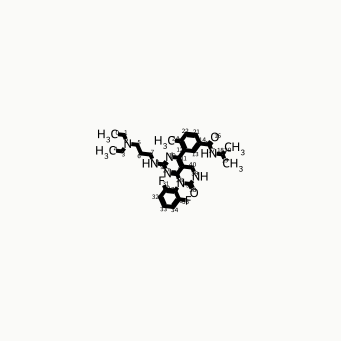 CCN(CC)CCCNc1nc(-c2cc(C(=O)NC(C)C)ccc2C)c2c(n1)N(c1c(F)cccc1F)C(=O)NC2